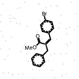 COC(=O)C(=Cc1ccc(Br)cc1)Cc1ccccc1